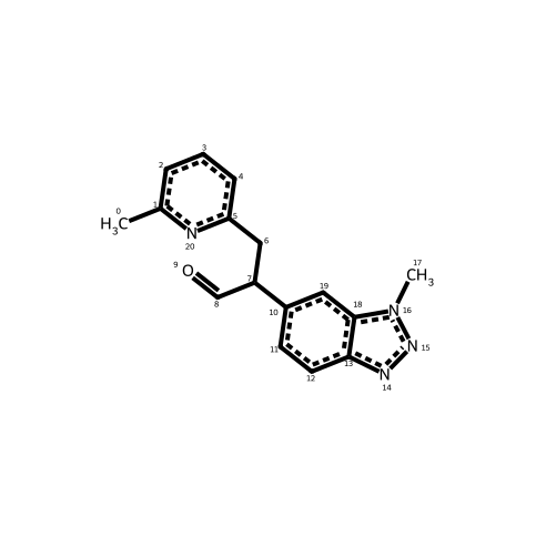 Cc1cccc(CC(C=O)c2ccc3nnn(C)c3c2)n1